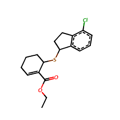 CCOC(=O)C1=CCCCC1SC1CCc2c(Cl)cccc21